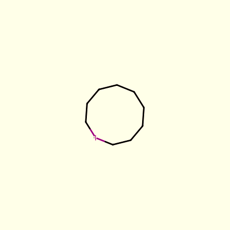 C1CCCC[I]CCCC1